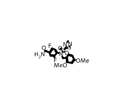 COc1ccc(CN(c2cc(F)c(C(N)=O)cc2F)S(=O)(=O)c2ncns2)c(OC)c1